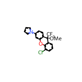 CO[C@@]1(C(F)(F)F)c2ccc(-n3cccc3)cc2Oc2c(Cl)cccc21